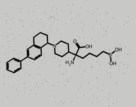 N[C@](CCCCB(O)O)(C(=O)O)C1CCN(C2CCCc3cc(-c4ccccc4)ccc32)CC1